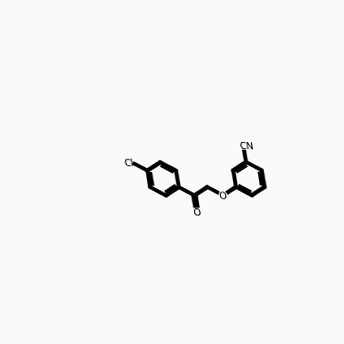 N#Cc1cccc(OCC(=O)c2ccc(Cl)cc2)c1